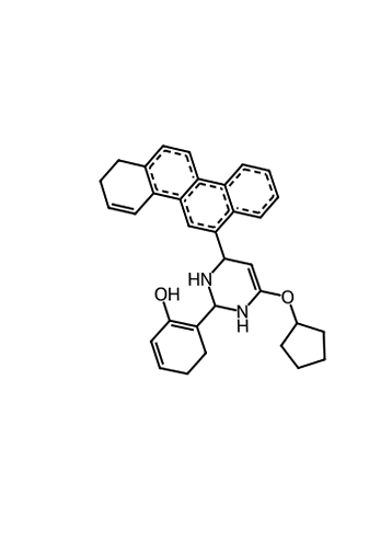 OC1=C(C2NC(OC3CCCC3)=CC(c3cc4c5c(ccc4c4ccccc34)CCC=C5)N2)CCC=C1